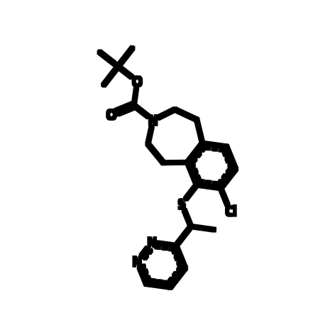 CC(Sc1c(Cl)ccc2c1CCN(C(=O)OC(C)(C)C)CC2)c1cccnn1